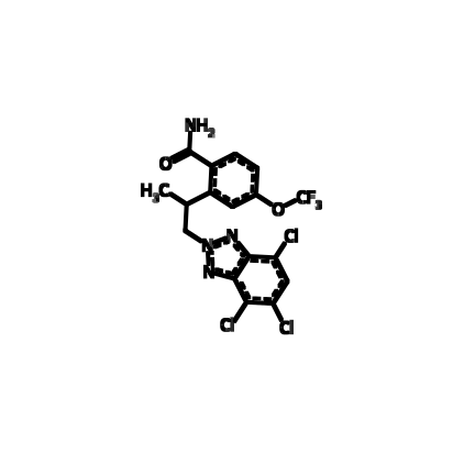 CC(Cn1nc2c(Cl)cc(Cl)c(Cl)c2n1)c1cc(OC(F)(F)F)ccc1C(N)=O